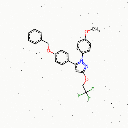 COc1ccc(-n2nc(OCC(F)(F)F)cc2-c2ccc(OCc3ccccc3)cc2)cc1